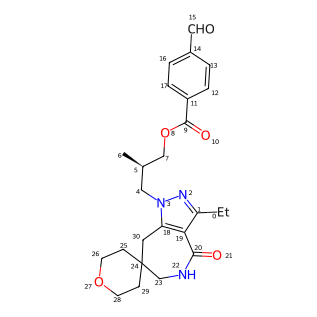 CCc1nn(C[C@@H](C)COC(=O)c2ccc(C=O)cc2)c2c1C(=O)NCC1(CCOCC1)C2